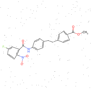 COC(=O)c1ccc(CCc2ccc(NC(=O)c3cc(F)ccc3[N+](=O)[O-])cc2)cc1